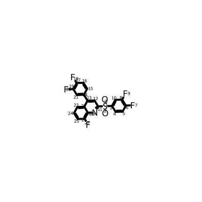 O=S(=O)(c1ccc(F)c(F)c1)c1cc(-c2ccc(F)c(F)c2)c2cccc(F)c2n1